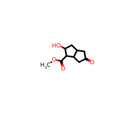 COC(=O)C1C(O)CC2CC(=O)CC21